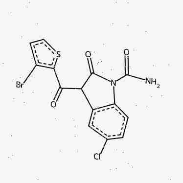 NC(=O)N1C(=O)C(C(=O)c2sccc2Br)c2cc(Cl)ccc21